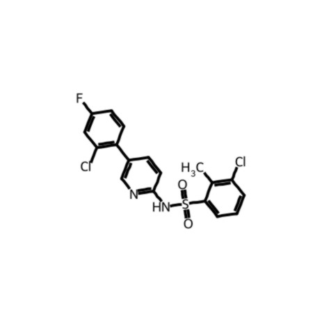 Cc1c(Cl)cccc1S(=O)(=O)Nc1ccc(-c2ccc(F)cc2Cl)cn1